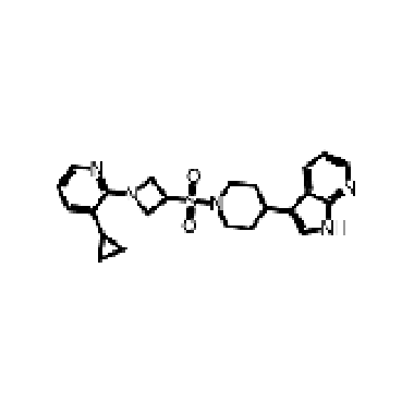 O=S(=O)(C1CN(c2ncccc2C2CC2)C1)N1CCC(c2c[nH]c3ncccc23)CC1